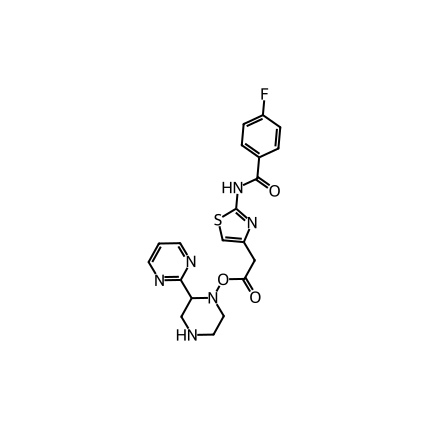 O=C(Cc1csc(NC(=O)c2ccc(F)cc2)n1)ON1CCNCC1c1ncccn1